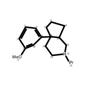 COc1cccc(C23CCCC2CN(C(C)C)CC3)c1